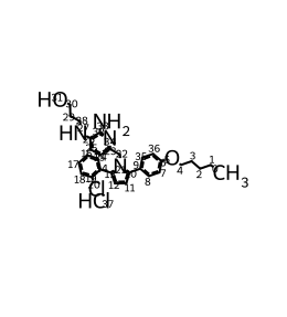 CCCCCOc1ccc(-c2ccc(-c3ccccc3Cl)n2Cc2ccc(NCCCO)c(N)n2)cc1.Cl